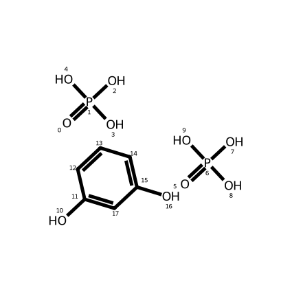 O=P(O)(O)O.O=P(O)(O)O.Oc1cccc(O)c1